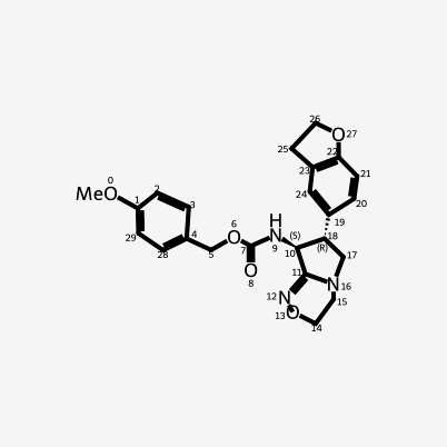 COc1ccc(COC(=O)N[C@@H]2C3=NOCCN3C[C@H]2c2ccc3c(c2)CCO3)cc1